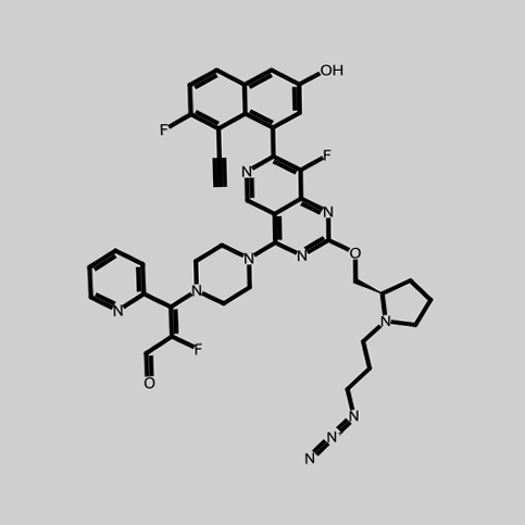 C#Cc1c(F)ccc2cc(O)cc(-c3ncc4c(N5CCN(/C(=C(\F)C=O)c6ccccn6)CC5)nc(OC[C@H]5CCCN5CCCN=[N+]=[N-])nc4c3F)c12